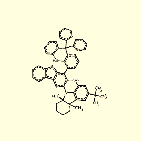 CC(C)(C)c1cc2c3c(c1)C1(C)CCCCC1(C)N3c1cc3c(sc4ccccc43)c(-c3cccc4c3Nc3ccccc3C4(c3ccccc3)c3ccccc3)c1B2